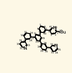 CCC(C)c1ccc(-c2cccc(-c3cc(-c4cccc(-c5cccnc5)c4)cc(-c4cccc(-c5cccnc5)c4)c3)c2)cn1